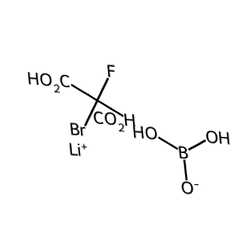 O=C(O)C(F)(Br)C(=O)O.[Li+].[O-]B(O)O